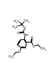 CCOC(=O)c1cc(OCC)ccc1NC(=O)OC(C)(C)C